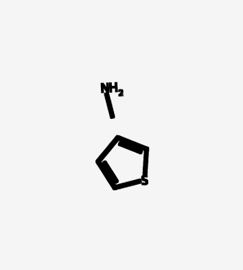 CN.c1ccsc1